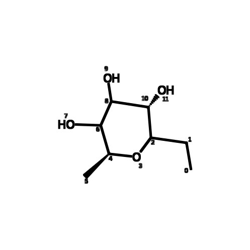 CCC1O[C@@H](C)C(O)C(O)[C@@H]1O